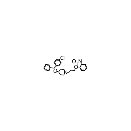 O=[N+]([O-])c1ccccc1OCCCN1CCC(OC(c2ccccc2)c2ccc(Cl)cc2)CC1